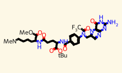 CNCCCCC(NC(=O)CCC(NC(=O)c1ccc(N(Cc2cnc3nc(N)[nH]c(=O)c3n2)C(=O)C(F)(F)F)cc1)C(=O)OC(C)(C)C)C(=O)OC